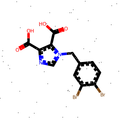 O=C(O)c1ncn(Cc2ccc(Br)c(Br)c2)c1C(=O)O